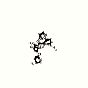 Cc1ccc(O[C@@H]2C[C@H]3C[C@@H]2N(C(=O)c2nc(C)ccc2-n2nccn2)[C@@H]3C)nc1